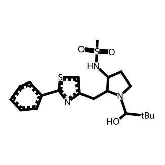 CC(C)(C)C(O)N1CCC(NS(C)(=O)=O)C1Cc1csc(-c2ccccc2)n1